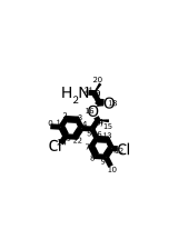 Cc1ccc(C(c2ccc(C)c(Cl)c2)[C@H](C)OC(=O)[C@H](C)N)cc1Cl